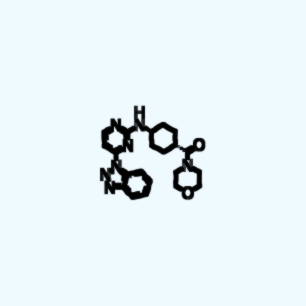 O=C([C@H]1CC[C@H](Nc2nccc(-n3nnc4ccccc43)n2)CC1)N1CCOCC1